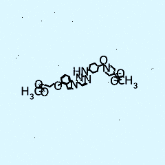 CS(=O)(=O)CCCOc1cccc2c1ccn2-c1ccnc(NC2CCC(C(=O)N3CCC(S(C)(=O)=O)CC3)CC2)n1